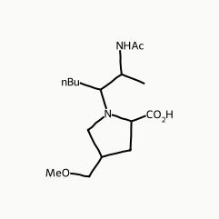 CCCCC(C(C)NC(C)=O)N1CC(COC)CC1C(=O)O